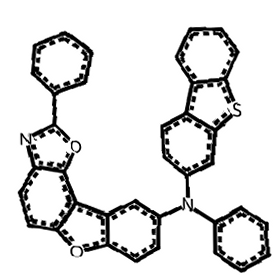 c1ccc(-c2nc3ccc4oc5ccc(N(c6ccccc6)c6ccc7c(c6)sc6ccccc67)cc5c4c3o2)cc1